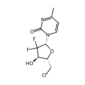 Cc1ccn([C@@H]2O[C@H](CCl)[C@@H](O)C2(F)F)c(=O)n1